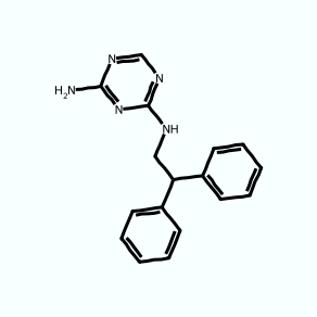 Nc1ncnc(NCC(c2ccccc2)c2ccccc2)n1